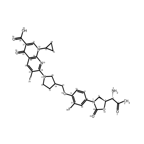 CC(=O)[C@@H](N)[C@@H]1CN(c2ccc(OCC3CCN(c4nc5c(cc4F)c(=O)c(C(=O)O)cn5C4CC4)C3)c(F)c2)C(=O)O1